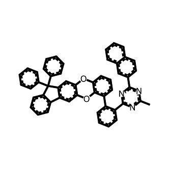 Cc1nc(-c2ccc3ccccc3c2)nc(-c2ccccc2-c2cccc3c2Oc2cc4c(cc2O3)C(c2ccccc2)(c2ccccc2)c2ccccc2-4)n1